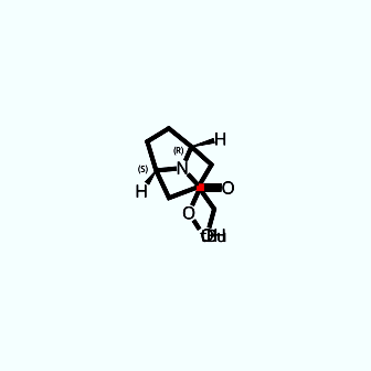 CC(C)(C)OC(=O)N1[C@@H]2CC[C@H]1CC(CO)C2